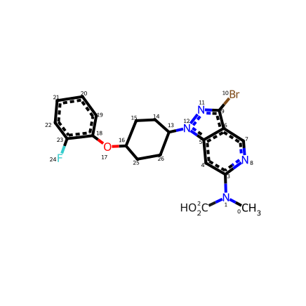 CN(C(=O)O)c1cc2c(cn1)c(Br)nn2C1CCC(Oc2ccccc2F)CC1